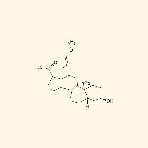 COC=CCC12CCC3C(CC[C@H]4C[C@H](O)CCC34C)C1CCC2C(C)=O